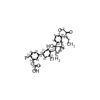 CCN1C(=O)COc2ccc(C(O)(C(C)c3ccc(-c4ccc(F)c(OC(=O)O)c4)cc3Cl)C(F)(F)F)cc21